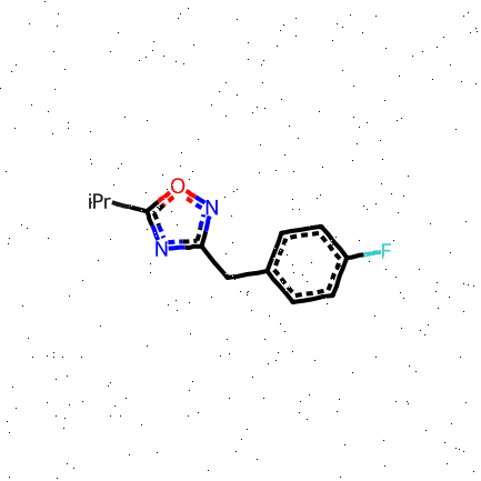 CC(C)c1nc(Cc2ccc(F)cc2)no1